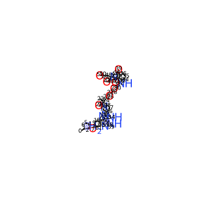 C=C/C=C(\C=C/C)Oc1ccc(C2=NN(C3CCCN(C(=O)C(=C)CCOCCOCCNc4cccc(C=O)c4C(=O)N(C)C(C=O)CCC=O)C3)C(=N)/C2=C(/N)NC)cc1